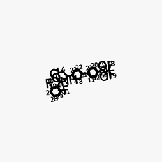 O=C(NC(CCl)c1ccc(-c2ccc(S(=O)(=O)C(F)F)cc2)cc1)c1c(F)cccc1F